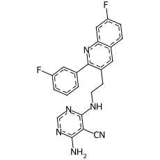 N#Cc1c(N)ncnc1NCCc1cc2ccc(F)cc2nc1-c1cccc(F)c1